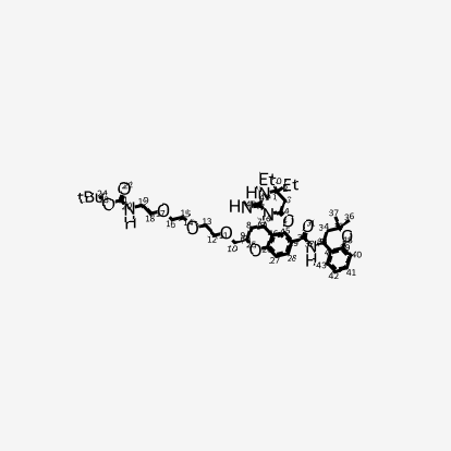 CCC1(CC)CC(=O)N([C@H]2C[C@H](COCCOCCOCCNC(=O)OC(C)(C)C)Oc3ccc(C(=O)N[C@H]4CC(C)(C)Oc5ccccc54)cc32)C(=N)N1